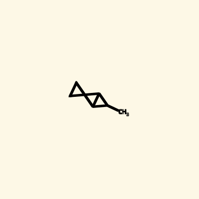 CC1C2C1C21CC1